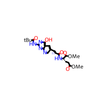 COC(=O)CC[C@H](NC(=O)/C=C/c1cnc2nc(NC(=O)C(C)(C)C)nc(O)c2c1)C(=O)OC